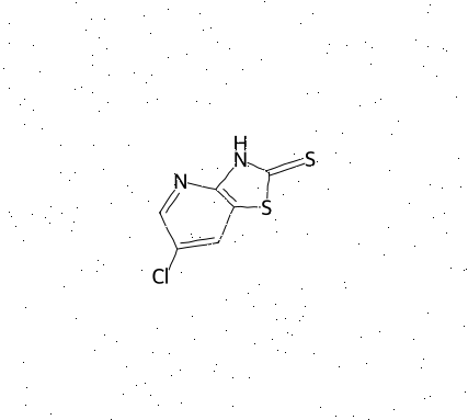 S=c1[nH]c2ncc(Cl)cc2s1